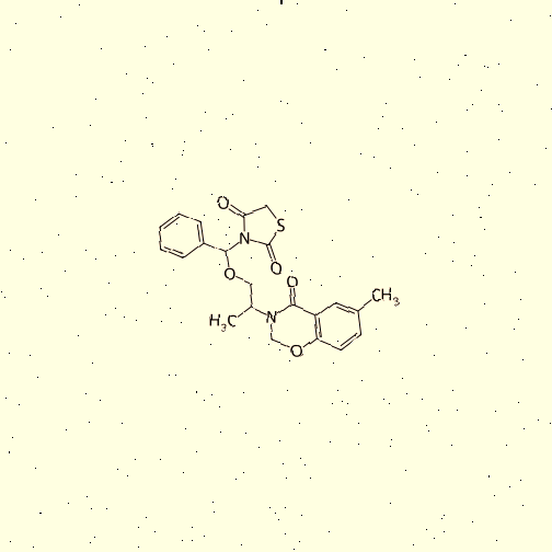 Cc1ccc2c(c1)C(=O)N(C(C)COC(c1ccccc1)N1C(=O)CSC1=O)CO2